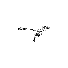 CCCCCCCCCCCCCCCCCCOC(C(C)OC(=O)NC)S(=O)(=O)OS(C)(=O)=O.CCC[N+](C)(C)C